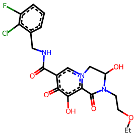 CCOCCN1C(=O)c2c(O)c(=O)c(C(=O)NCc3cccc(F)c3Cl)cn2CC1O